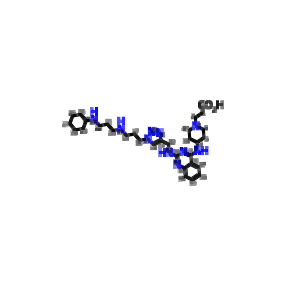 O=C(O)CCN1CCC(Nc2nc(NCc3cn(CCCNCCCNC4CCCCC4)nn3)nc3ccccc23)CC1